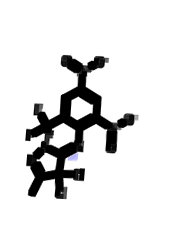 CC1=NS/C(=N\c2c([N+](=O)[O-])cc([N+](=O)[O-])cc2C(F)(F)F)C1(Cl)Cl